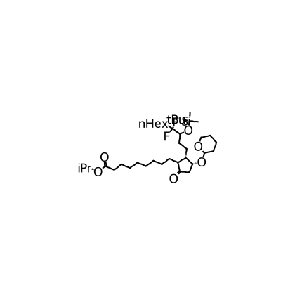 CCCCCCC(F)(F)C(CC[C@@H]1C(CCCCCCCCC(=O)OC(C)C)C(=O)C[C@H]1OC1CCCCO1)O[Si](C)(C)C(C)(C)C